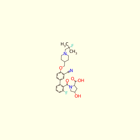 CC(C)(F)CN1CCC(COc2ccc(-c3cccc(F)c3C(=O)N3CC(O)CC3C(=O)O)cc2C#N)CC1